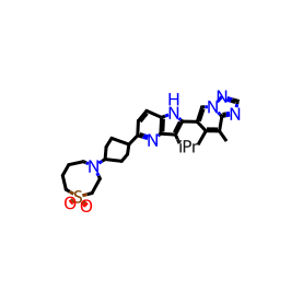 Cc1c(-c2[nH]c3ccc(C4CCC(N5CCCCS(=O)(=O)CC5)CC4)nc3c2C(C)C)cn2ncnc2c1C